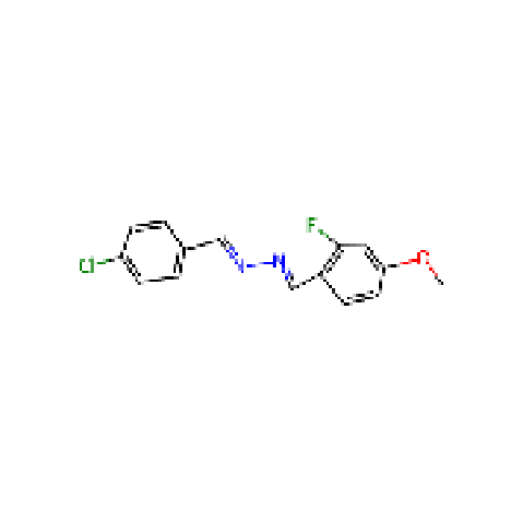 COc1ccc(/C=N/N=C/c2ccc(Cl)cc2)c(F)c1